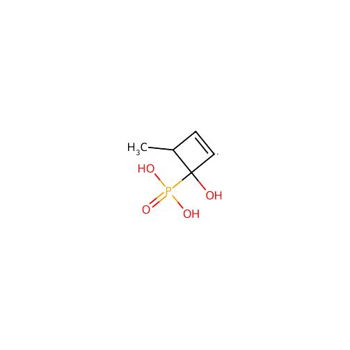 CC1C=[C]C1(O)P(=O)(O)O